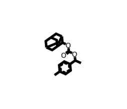 Cc1ccc(C(C)OC(=O)OC2C3CC4CC(C3)CC2C4)cc1